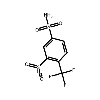 NS(=O)(=O)c1ccc(C(F)(F)F)c([SH](=O)=O)c1